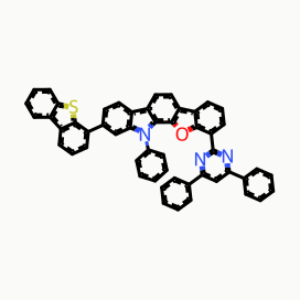 c1ccc(-c2cc(-c3ccccc3)nc(-c3cccc4c3oc3c4ccc4c5ccc(-c6cccc7c6sc6ccccc67)cc5n(-c5ccccc5)c43)n2)cc1